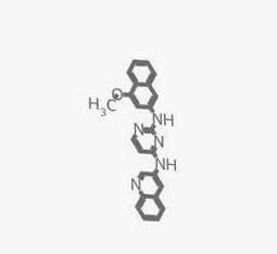 COc1cc(Nc2nccc(Nc3cnc4ccccc4c3)n2)cc2ccccc12